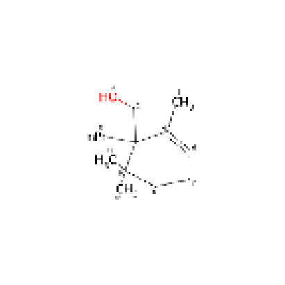 CCCC1(CO)C(C)=CCCC1(C)C